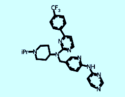 CC(C)N1CCC(N(Cc2ccc(Nc3ccncn3)nc2)c2nccc(-c3ccc(C(F)(F)F)cc3)n2)CC1